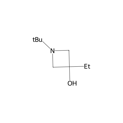 CCC1(O)CN(C(C)(C)C)C1